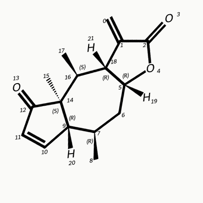 C=C1C(=O)O[C@@H]2C[C@@H](C)[C@@H]3C=CC(=O)[C@@]3(C)[C@@H](C)[C@H]12